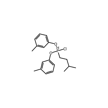 Cc1cccc(O[PH](Cl)(CCC(C)C)Oc2cccc(C)c2)c1